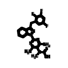 CN(C(O)=S)c1c(N)nc(-n2nc(Cc3cc(F)cc(F)c3F)c3ccccc32)nc1N